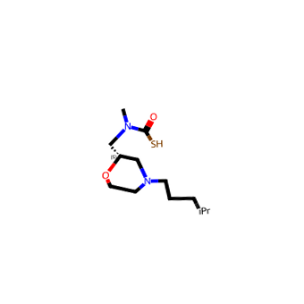 CC(C)CCCN1CCO[C@H](CN(C)C(=O)S)C1